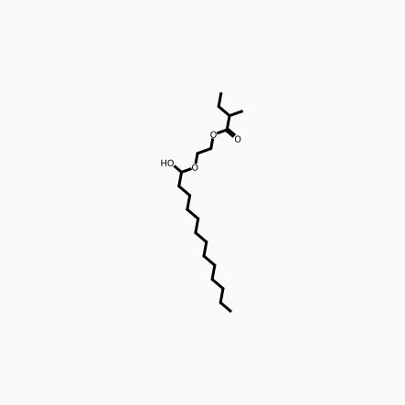 CCCCCCCCCCCCC(O)OCCOC(=O)C(C)CC